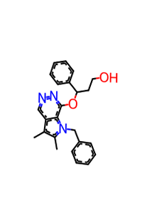 Cc1c(C)n(Cc2ccccc2)c2c(OC(CCO)c3ccccc3)nncc12